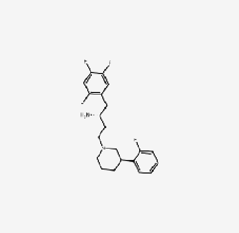 N[C@@H](CCN1CCCC(c2ccccc2F)C1)Cc1cc(F)c(F)cc1F